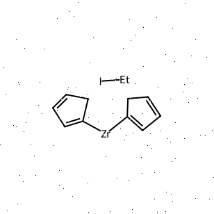 C1=CC[C]([Zr][C]2=CC=CC2)=C1.CCI